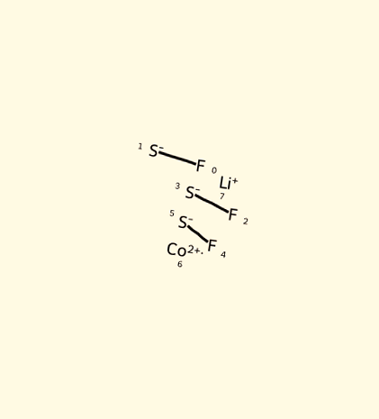 F[S-].F[S-].F[S-].[Co+2].[Li+]